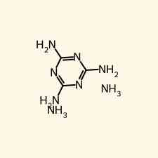 N.N.Nc1nc(N)nc(N)n1